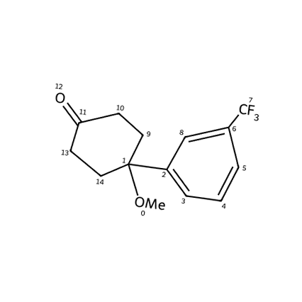 COC1(c2cccc(C(F)(F)F)c2)CCC(=O)CC1